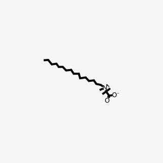 CCCCCCCCCCCCCCCC[N+](C)(C)C(C)(C)C(=O)[O-]